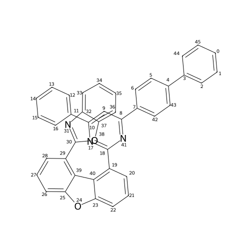 c1ccc(-c2ccc(-c3cc(-c4ccccc4)nc(-c4cccc5oc6cccc(-c7nc8ccccc8o7)c6c45)n3)cc2)cc1